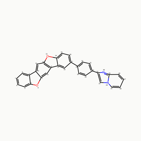 c1ccc2c(c1)oc1cc3c(cc12)oc1ccc(-c2ccc(-c4cn5ccccc5n4)cc2)cc13